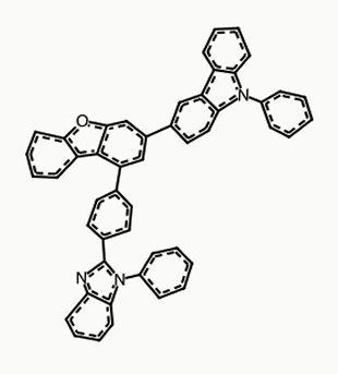 c1ccc(-n2c(-c3ccc(-c4cc(-c5ccc6c(c5)c5ccccc5n6-c5ccccc5)cc5oc6ccccc6c45)cc3)nc3ccccc32)cc1